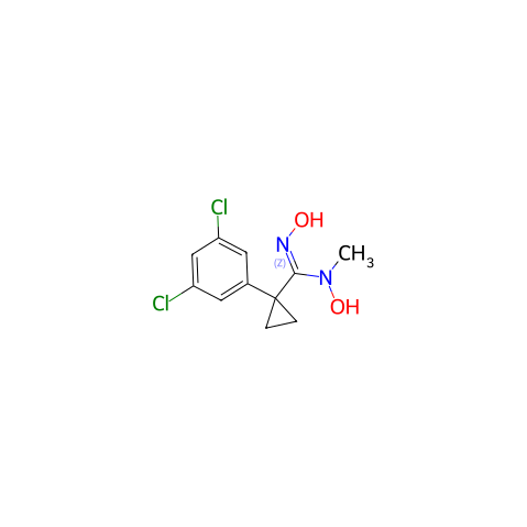 CN(O)/C(=N\O)C1(c2cc(Cl)cc(Cl)c2)CC1